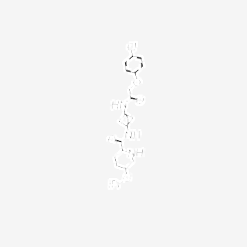 CC(C)OC1CCC(C(=O)NC23CC(NC(=O)COc4ccc(Cl)cc4)(C2)C3)NC1